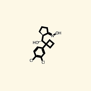 ON=C1CCC[C@@H]1[C@@H](O)C1(c2ccc(Cl)c(Cl)c2)CCC1